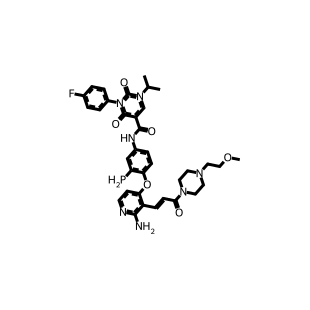 COCCN1CCN(C(=O)/C=C/c2c(Oc3ccc(NC(=O)c4cn(C(C)C)c(=O)n(-c5ccc(F)cc5)c4=O)cc3P)ccnc2N)CC1